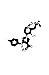 CN(C)CCC1[C@@H](C#N)[C@H](n2cc(C(N)=O)c(Nc3ccc(F)cc3)n2)CCN1C(=O)O